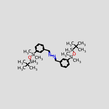 CC(C)(C)[SiH2]O[Si](C)(C)c1cccc(C=NN=Cc2cccc([Si](C)(C)O[SiH2]C(C)(C)C)c2)c1